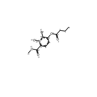 CCCC(=O)Oc1ccc(C(=O)OC)[n+]([O-])c1Br